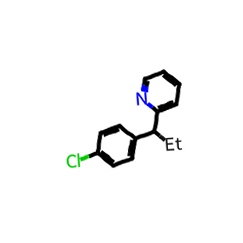 [CH2]CC(c1ccc(Cl)cc1)c1ccccn1